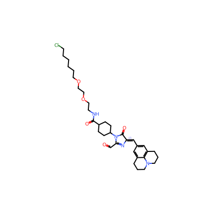 O=CC1=N/C(=C\c2cc3c4c(c2)CCCN4CCC3)C(=O)N1C1CCC(C(=O)NCCOCCOCCCCCCCl)CC1